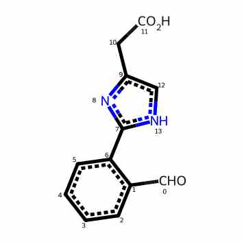 O=Cc1ccccc1-c1nc(CC(=O)O)c[nH]1